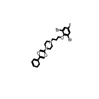 Fc1cc(Br)c(OCCCN2CCN(C3=COC(C4=CC=CCC4)=CO3)CC2)c(Br)c1